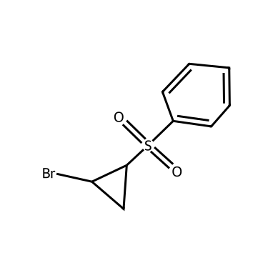 O=S(=O)(c1ccccc1)C1CC1Br